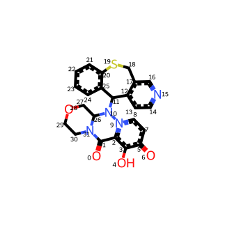 O=C1c2c(O)c(=O)ccn2N(C2c3ccncc3CSc3ccccc32)C2COCCN12